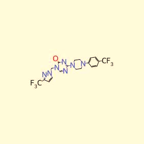 O=c1nc(N2CCN(c3ccc(C(F)(F)F)cc3)CC2)ncn1Cn1ccc(C(F)(F)F)n1